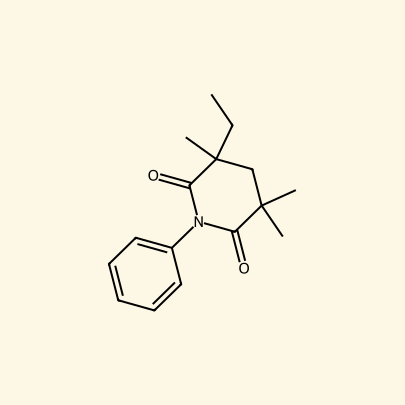 CCC1(C)CC(C)(C)C(=O)N(c2ccccc2)C1=O